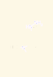 CN1CCCC1CCNN